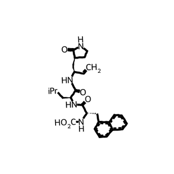 C=C[C@H](C[C@@H]1CCNC1=O)NC(=O)[C@H](CC(C)C)NC(=O)[C@H](Cc1cccc2ccccc12)NC(=O)O